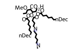 CCCCCCCCCCCCCCCC(=O)OC(C)C(OC)C(C(=O)O)C(OC(=O)CCC/N=C/CCC/C=N/C)C(C)OC(=O)CCCCCCCCCCCCCCC